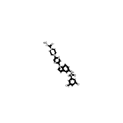 CC(C)(C)OC(=O)N1CCN(c2cnc(-n3ccc4cc(NS(=O)(=O)c5cc(Cl)cc(Cl)c5)ccc43)cn2)CC1